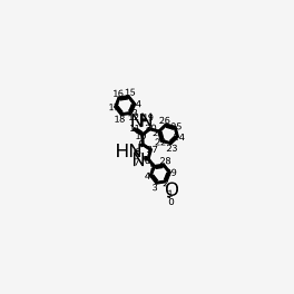 COc1ccc(C2=NNC(c3cn(-c4ccccc4)nc3-c3ccccc3)C2)cc1